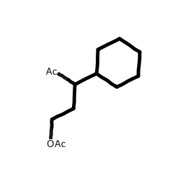 CC(=O)OCCC(C(C)=O)C1CCCCC1